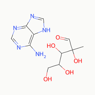 CC(O)(C=O)C(O)C(O)CO.Nc1ncnc2nc[nH]c12